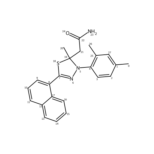 Cc1ccc(N2N=C(c3cccc4ccccc34)SC2(C)CC(N)=O)c(C)c1